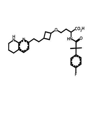 CC(C)(C(=O)NC(CCOC1CC(CCc2ccc3c(n2)NCCC3)C1)C(=O)O)c1ccc(F)cc1